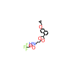 O=C(NCCCC1OCC(c2cccc3cc(OCC4CC4)ccc23)CO1)OCC(F)(F)F